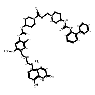 COc1cc(NC(=O)OC2CCN(C(=O)CCN3CCC(OC(=O)Nc4ccccc4-c4ccccc4)CC3)CC2)c(Cl)cc1CNC[C@H](O)c1ccc(O)c2[nH]c(=O)ccc12